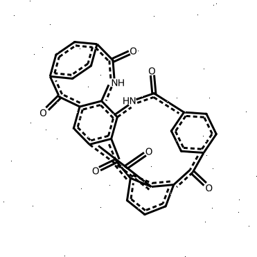 O=c1[nH]c2c(cc3c(=O)c4c5cccc4c(=O)c3c2[nH]c(=O)c2ccc(cc2)c5=O)c(=O)c2ccc1cc2